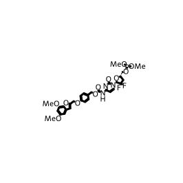 COc1cc(OC)c2oc(COc3ccc(COC(=O)Nc4ccn([C@@H]5O[C@H](COP(OC)OC)CC5(F)F)c(=O)n4)cc3)cc2c1